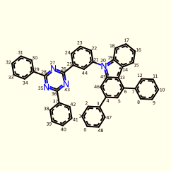 c1ccc(-c2cc(-c3ccccc3)c3c4ccccc4n(-c4cccc(-c5nc(-c6ccccc6)nc(-c6ccccc6)n5)c4)c3c2)cc1